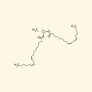 CCCCC/C=C\C/C=C\CCCCCCCC(=O)O[C@H]1[C@H](CC)C[C@H]1OC(=O)CCCCCCC/C=C\C/C=C\CCCCC